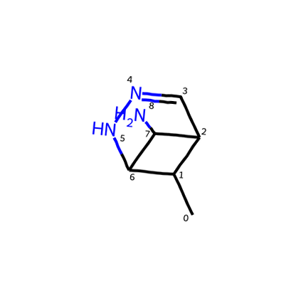 CC1C2C=NNC1C2N